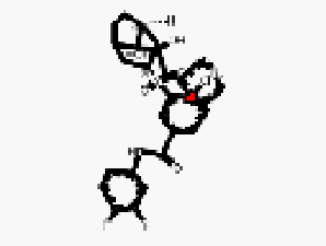 O=C(Nc1ccc(F)c(F)c1)c1ccc(Cl)c(S(=O)(=O)[C@@H]2CC3CC[C@@H](C2)[C@@]3(O)C(O)Cc2cccnc2)c1